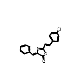 O=C1OC(C=Cc2ccc(Cl)cc2)=NC1=Cc1ccccc1